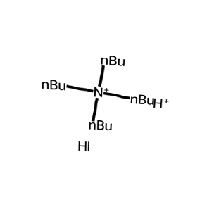 CCCC[N+](CCCC)(CCCC)CCCC.I.[H+]